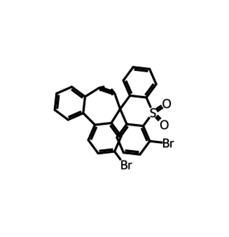 O=S1(=O)c2ccccc2C2(c3ccccc3-c3ccccc3-c3ccc(Br)cc32)c2cccc(Br)c21